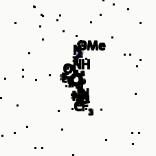 CO/N=C/CNC(=O)c1ccc(-c2noc(C(F)(F)F)n2)cc1F